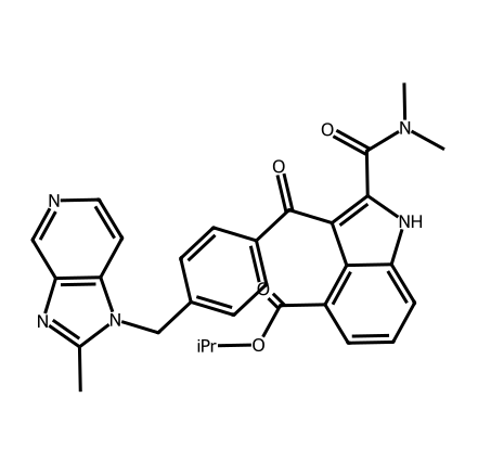 Cc1nc2cnccc2n1Cc1ccc(C(=O)c2c(C(=O)N(C)C)[nH]c3cccc(C(=O)OC(C)C)c23)cc1